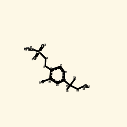 CCCCCCS(=O)(=O)CCc1ccc(C(C)(C)CC(C)(C)C)cc1[S]